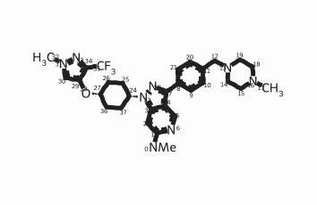 CNc1cc2c(cn1)c(-c1ccc(CN3CCN(C)CC3)cc1)nn2[C@H]1CC[C@@H](Oc2cn(C)nc2C(F)(F)F)CC1